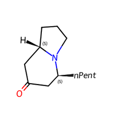 CCCCC[C@H]1CC(=O)C[C@@H]2CCCN12